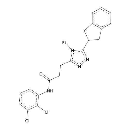 CCn1c(CCC(=O)Nc2cccc(Cl)c2Cl)nnc1C1Cc2ccccc2C1